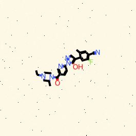 CCN1CCN(C(=O)c2ccc(-n3ncc(-c4cc(F)c(C#N)cc4C)c3O)nc2)C(C)C1